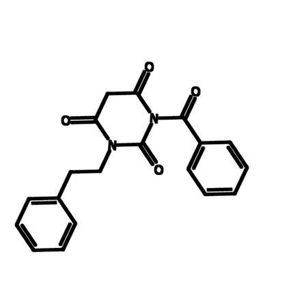 O=C1CC(=O)N(C(=O)c2ccccc2)C(=O)N1CCc1ccccc1